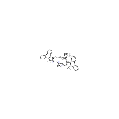 CC1(C)C(/C=C/C(O)=C/C=C2\N(CCOC=O)c3c(c4ccccc4c4ccccc34)C2(C)C)=[N+](CCC(=O)O)c2c1c1ccccc1c1ccccc21